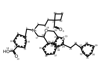 O=CC1(CCCN(Cc2ccc(C(=O)O)cc2)CC(OCc2ccc(CCc3ccccc3)s2)c2ccccc2)CCC1